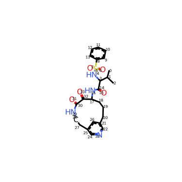 CC(C)C(NS(=O)(=O)c1ccccc1)C(=O)NC1CCCc2cncc(c2)CCNC(=O)C1=O